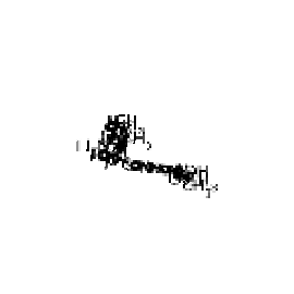 CC[C@@H]([C@H](C)O)n1ncn(-c2ccc(N3CCN(c4ccc(OC[C@@H]5CO[C@@](Cn6c[n+](C(C)OC(=O)N(C)c7ncccc7COC(=O)CN)cn6)(c6ccc(F)cc6F)C5)cc4)CC3)cc2)c1=O